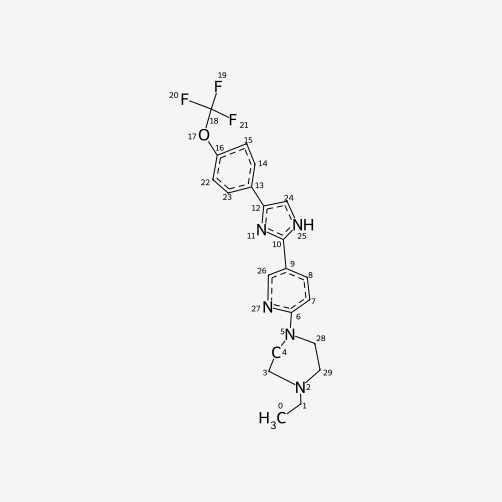 CCN1CCN(c2ccc(-c3nc(-c4ccc(OC(F)(F)F)cc4)c[nH]3)cn2)CC1